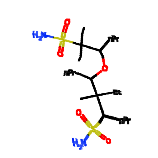 CCCC(OC(CCC)C(C)(C)S(N)(=O)=O)C(C)(CC)C(CCC)S(N)(=O)=O